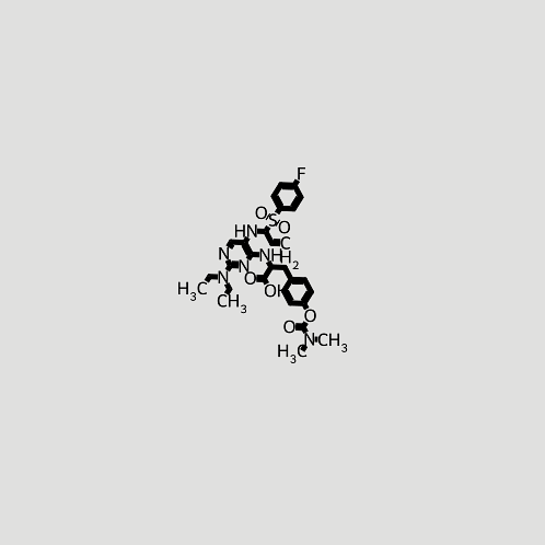 C=CC(Nc1cnc(N(CC)CC)nc1NC(Cc1ccc(OC(=O)N(C)C)cc1)C(=O)O)S(=O)(=O)c1ccc(F)cc1